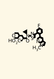 Cn1ccc2cc(-c3ccc(F)cc3-c3csc(N(C(=O)[C@@H](CC(=O)O)CC4CCOCC4)C4CC4)n3)cnc21